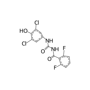 O=C(NC(=O)c1c(F)cccc1F)Nc1cc(Cl)c(O)c(Cl)c1